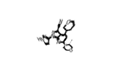 C[C@@H]1COCCN1c1cc(C2CCCOC2)c2c(C#N)nn(-c3cc[nH]n3)c2n1